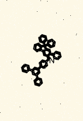 c1ccc(-c2cc(-c3ccccc3)cc(-c3ccc(-c4nc5ccccc5c5cc6c(cc45)-c4ccccc4C6(c4ccccc4)c4ccccc4)cc3)c2)cc1